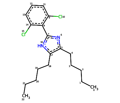 CCCCCc1nc(-c2c(Cl)cccc2Cl)[nH]c1CCCCC